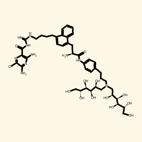 N=C(NCCCCc1ccc(C[C@H](N)C(=O)Nc2ccc(CCCN(C[C@H](O)[C@@H](O)[C@H](O)[C@H](O)CO)C[C@H](O)[C@@H](O)[C@H](O)[C@H](O)CO)cc2)c2ccccc12)NC(=O)c1nc(Cl)c(N)nc1N